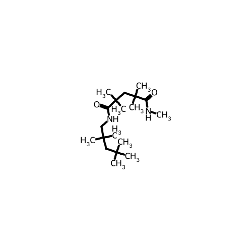 CNC(=O)C(C)(C)CC(C)(C)C(=O)NCC(C)(C)CC(C)(C)C